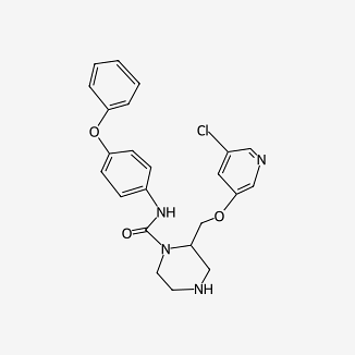 O=C(Nc1ccc(Oc2ccccc2)cc1)N1CCNCC1COc1cncc(Cl)c1